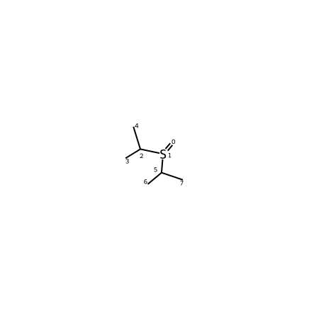 C=S(C(C)C)C(C)C